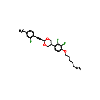 CCCCCCOc1ccc(C2COC(C#Cc3ccc(C)cc3F)OC2)c(F)c1F